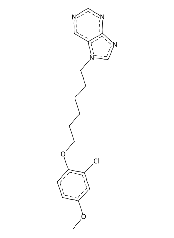 COc1ccc(OCCCCCCn2cnc3ncncc32)c(Cl)c1